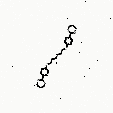 c1cc(C2SCCCS2)ccc1OCCCCCCOc1ccc(C2SCCCS2)cc1